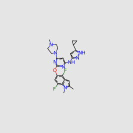 Cc1cc2c(F)c(Oc3nc(Nc4cc(C5CC5)[nH]n4)cc(N4CCN(C)CC4)n3)cc(F)c2n1C